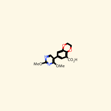 COc1ncc(-c2cc3c(c(C(=O)O)c2)OCCO3)c(OC)n1